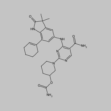 CC1(C)C(=O)Nc2c(C3=CCCCC3)cc(Nc3nc(N4CCCC(OC(N)=O)C4)ncc3C(N)=O)cc21